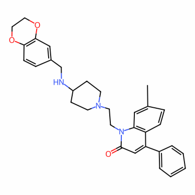 Cc1ccc2c(-c3ccccc3)cc(=O)n(CCN3CCC(NCc4ccc5c(c4)OCCO5)CC3)c2c1